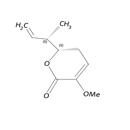 C=C[C@H](C)[C@@H]1CC=C(OC)C(=O)O1